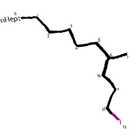 CCCCCCCCCCCCC(C)CCCI